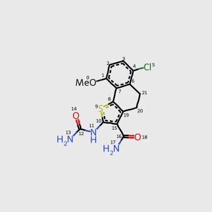 COc1ccc(Cl)c2c1-c1sc(NC(N)=O)c(C(N)=O)c1CC2